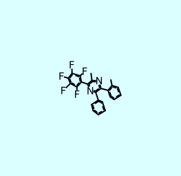 Cc1ccccc1-c1nc(C)c(-c2c(F)c(F)c(F)c(F)c2F)nc1-c1ccccc1